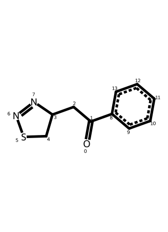 O=C(CC1CSN=N1)c1ccccc1